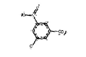 O=C(O)c1cc(Cl)cc(S(=O)O)c1